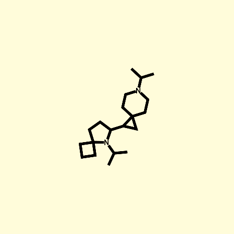 CC(C)N1CCC2(CC1)CC2C1CCC2(CCC2)N1C(C)C